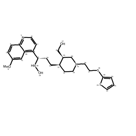 COc1ccc2nccc([C@H](CC[C@@H]3CCN(CCSc4cccs4)C[C@@H]3CO)NO)c2c1